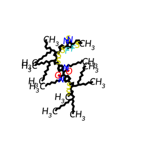 CCCCCCCCC(CCCCCC)Cc1cc(-c2sc(-c3ccc4c(c3)N(CCCCCCCC)C(=O)/C4=C3/C(=O)N(CCCCCCCC)c4cc(-c5cc(CC(CCCCCC)CCCCCCCC)c(-c6cc(CC(CCCCCC)CCCCCCCC)c(-c7ccc(-c8c(F)c(F)c(-c9ccc(C)s9)c9nsnc89)s7)s6)s5)ccc43)cc2CC(CCCCCC)CCCCCCCC)sc1C